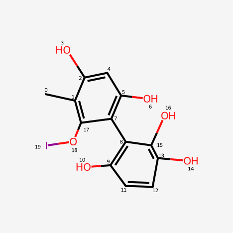 Cc1c(O)cc(O)c(-c2c(O)ccc(O)c2O)c1OI